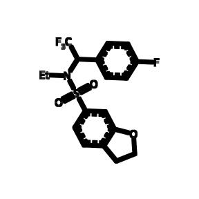 CCN(C(c1ccc(F)cc1)C(F)(F)F)S(=O)(=O)c1ccc2c(c1)OCC2